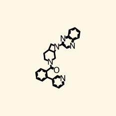 O=C(c1ccccc1-c1cccnc1)N1CCC2CN(c3cnc4ccccc4n3)C2C1